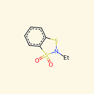 CCN1Sc2ccccc2S1(=O)=O